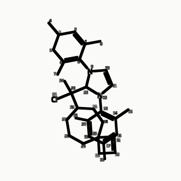 CC1=CC(C)CC(C)=C1N1C=CN(c2c(C)cc(C)cc2C)C1C(C)(Cl)C1CCCC2(C=CC2)CC1